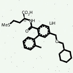 CSCC[C@H](NC(=O)c1ccc(COCC2CCCCC2)cc1-c1ccccc1C)C(=O)O.[LiH]